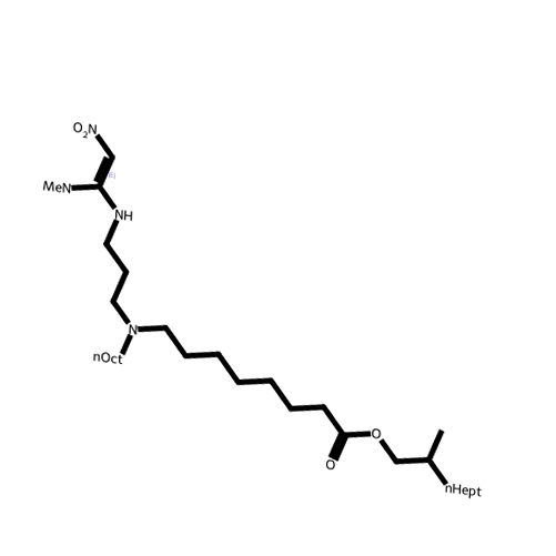 CCCCCCCCN(CCCCCCCC(=O)OCC(C)CCCCCCC)CCCN/C(=C/[N+](=O)[O-])NC